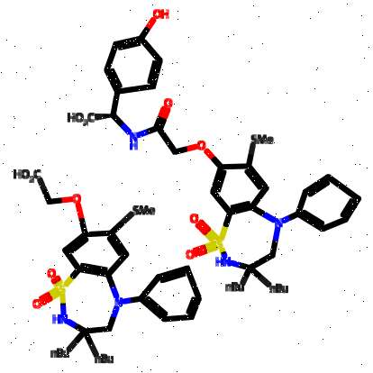 CCCCC1(CCCC)CN(c2ccccc2)c2cc(SC)c(OCC(=O)N[C@@H](C(=O)O)c3ccc(O)cc3)cc2S(=O)(=O)N1.CCCCC1(CCCC)CN(c2ccccc2)c2cc(SC)c(OCC(=O)O)cc2S(=O)(=O)N1